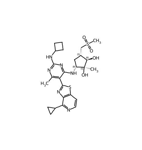 Cc1nc(NC2CCC2)nc(N[C@@H]2C[C@H](CS(C)(=O)=O)[C@@H](O)[C@@]2(C)O)c1-c1nc2c(C3CC3)nccc2s1